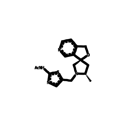 CC(=O)Nc1ncc(CN2C[C@]3(C[C@@H]2C)OCc2ccncc23)s1